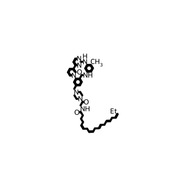 CC/C=C\CC=CCC=CC/C=C\C/C=C\CCCC(=O)NCC(=O)N1CCN(Cc2ccc(C(=O)Nc3ccc(C)c(Nc4nccc(-c5cccnc5)n4)c3)cc2)CC1